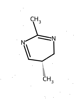 CC1=NC[C@H](C)C=N1